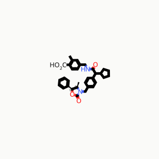 Cc1cc(CNC(=O)C(c2ccc(CN3C(=O)O[C@@H](c4ccccc4)[C@H]3C)cc2)C2CCCC2)ccc1C(=O)O